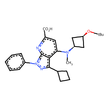 CN(c1cc(C(=O)O)nc2c1c(C1CCC1)nn2-c1ccccc1)[C@H]1C[C@@H](OC(C)(C)C)C1